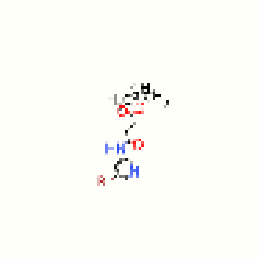 CC(C)(C)OC(=O)CCC(=O)Nc1cncc(Br)c1